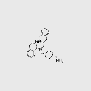 NC[C@H]1CC[C@H](CN(C[C@H]2Cc3ccccc3CN2)[C@H]2CCCc3cccnc32)CC1